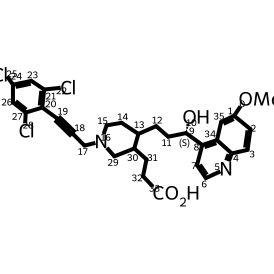 COc1ccc2nccc([C@@H](O)CCC3CCN(CC#Cc4c(Cl)cc(Cl)cc4Cl)CC3CCC(=O)O)c2c1